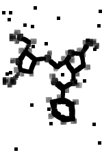 B[C@H]1CC(OC[C@H]2O[C@@H](B)CC2OC(=O)c2ccccc2)[C@@H](CC)O1